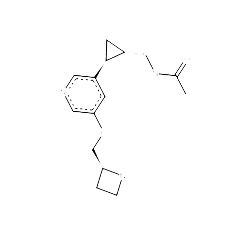 CC(=O)NC[C@H]1C[C@@H]1c1cncc(OC[C@@H]2CCN2)c1